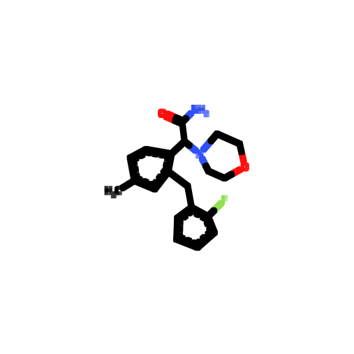 Cc1ccc(C(C(N)=O)N2CCOCC2)c(Cc2ccccc2F)c1